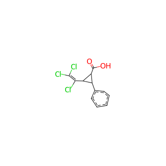 O=C(O)C1C(C(Cl)=C(Cl)Cl)C1c1ccccc1